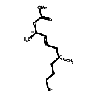 COC(=O)O[C@H](C)C=CC[C@H](C)CCCC(C)C